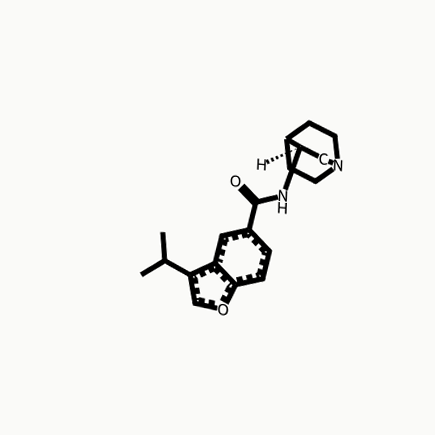 CC(C)c1coc2ccc(C(=O)N[C@@H]3CN4CCC3CC4)cc12